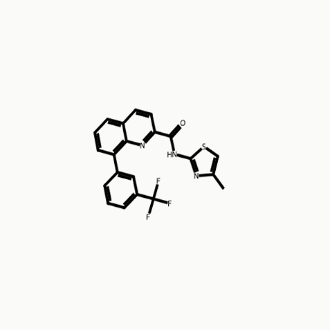 Cc1csc(NC(=O)c2ccc3cccc(-c4cccc(C(F)(F)F)c4)c3n2)n1